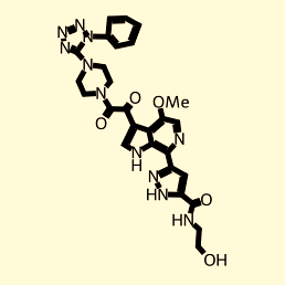 COc1cnc(-c2cc(C(=O)NCCO)[nH]n2)c2[nH]cc(C(=O)C(=O)N3CCN(c4nnnn4-c4ccccc4)CC3)c12